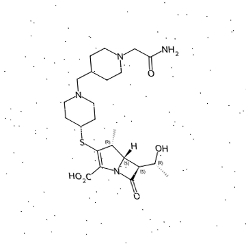 C[C@@H](O)[C@H]1C(=O)N2C(C(=O)O)=C(SC3CCN(CC4CCN(CC(N)=O)CC4)CC3)[C@H](C)[C@H]12